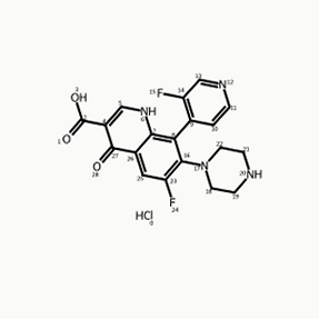 Cl.O=C(O)c1c[nH]c2c(-c3ccncc3F)c(N3CCNCC3)c(F)cc2c1=O